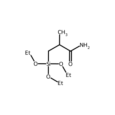 CCO[Si](CC(C)C(N)=O)(OCC)OCC